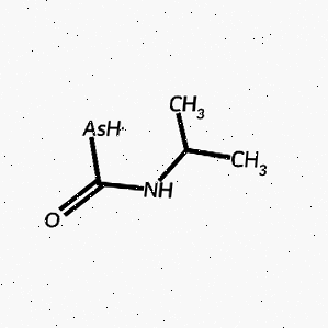 CC(C)NC(=O)[AsH]